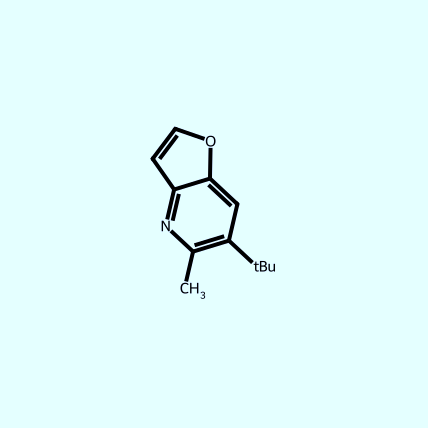 Cc1nc2ccoc2cc1C(C)(C)C